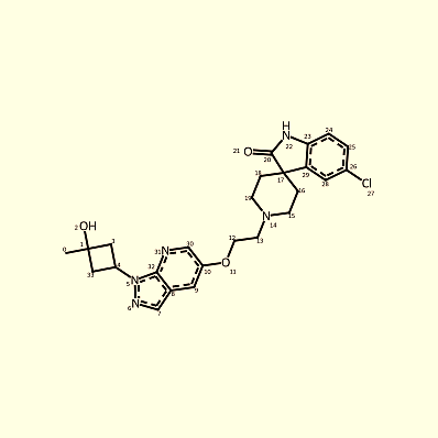 CC1(O)CC(n2ncc3cc(OCCN4CCC5(CC4)C(=O)Nc4ccc(Cl)cc45)cnc32)C1